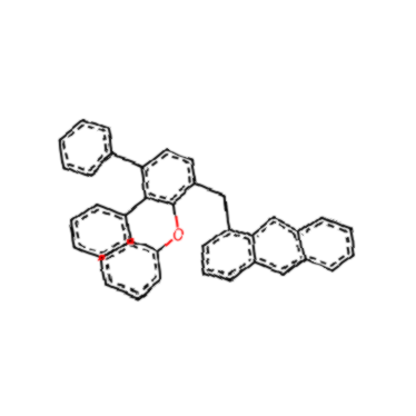 c1ccc(Oc2c(Cc3cccc4cc5ccccc5cc34)ccc(-c3ccccc3)c2-c2ccccc2)cc1